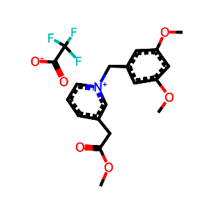 COC(=O)Cc1ccc[n+](Cc2cc(OC)cc(OC)c2)c1.O=C([O-])C(F)(F)F